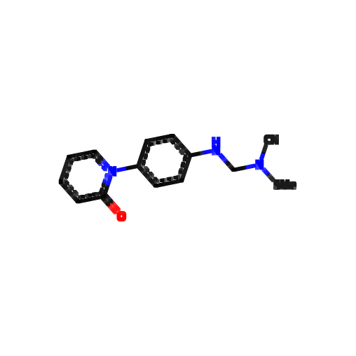 CSN(C#N)CNc1ccc(-n2ccccc2=O)cc1